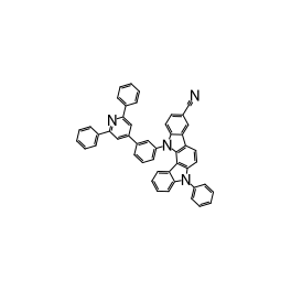 N#Cc1ccc2c(c1)c1ccc3c(c4ccccc4n3-c3ccccc3)c1n2-c1cccc(-c2cc(-c3ccccc3)nc(-c3ccccc3)c2)c1